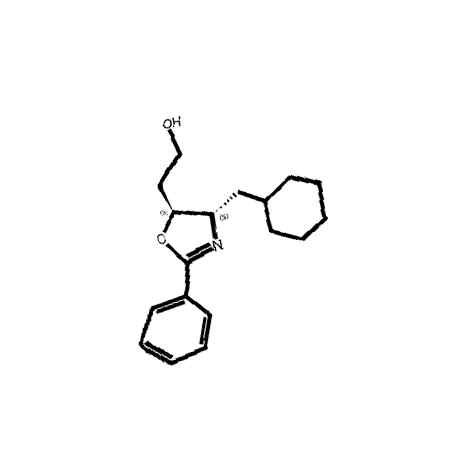 OCC[C@@H]1OC(c2ccccc2)=N[C@H]1CC1CCCCC1